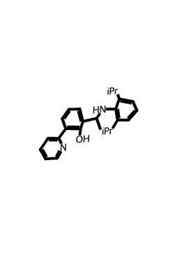 CC(C)c1cccc(C(C)C)c1NC(C)c1cccc(-c2ccccn2)c1O